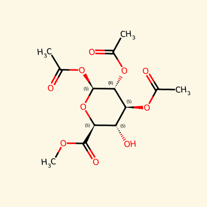 COC(=O)[C@H]1O[C@@H](OC(C)=O)[C@H](OC(C)=O)[C@@H](OC(C)=O)[C@@H]1O